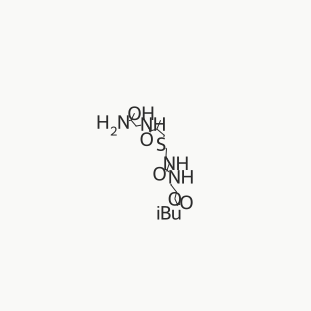 CCC(C)C(=O)OCCNC(=O)NCCSCC(C)C(=O)NCC(N)O